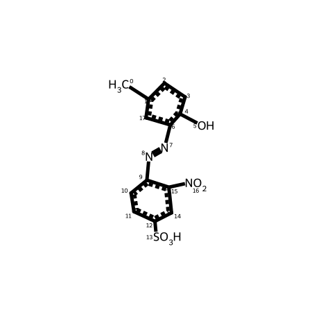 Cc1ccc(O)c(N=Nc2ccc(S(=O)(=O)O)cc2[N+](=O)[O-])c1